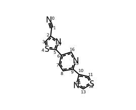 N#Cc1csc(-c2ccc(-c3cscn3)nc2)n1